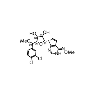 CON=c1[nH]cnc2c1ccn2[C@@H]1O[C@H]([C@H](OC)c2ccc(Cl)c(Cl)c2)[C@@H](O)[C@H]1O